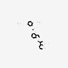 COc1ccc(OC)c(NC(=O)Nc2cccc3c2ccn3Cc2c[nH]c3ncccc23)c1